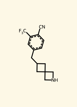 N#Cc1ccc(CC2CC3(CNC3)C2)cc1C(F)(F)F